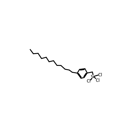 CCCCCCCCCCCCc1ccc(C[Si](Cl)(Cl)Cl)cc1